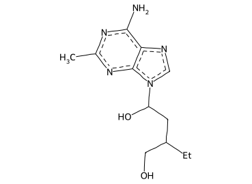 CCC(CO)CC(O)n1cnc2c(N)nc(C)nc21